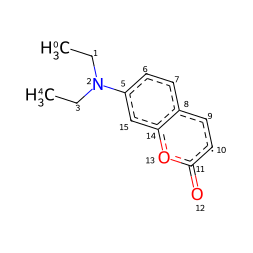 CCN(CC)c1ccc2c[c]c(=O)oc2c1